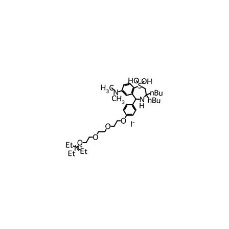 CCCCC1(CCCC)CS(O)(O)c2ccc(N(C)C)cc2C(c2ccc(OCCOCCOCCO[N+](CC)(CC)CC)cc2)N1.[I-]